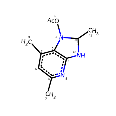 CC(=O)ON1c2c(C)cc(C)nc2NC1C